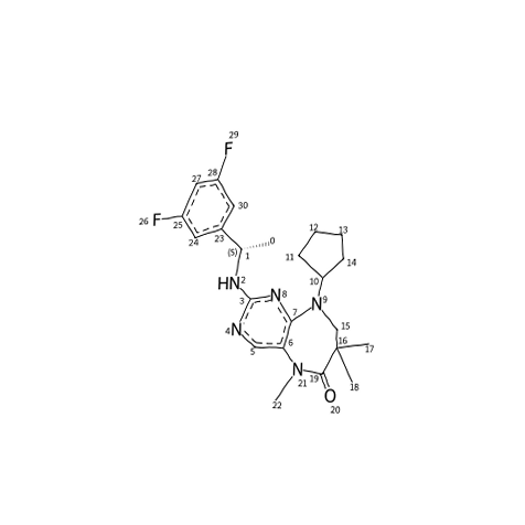 C[C@H](Nc1ncc2c(n1)N(C1CCCC1)CC(C)(C)C(=O)N2C)c1cc(F)cc(F)c1